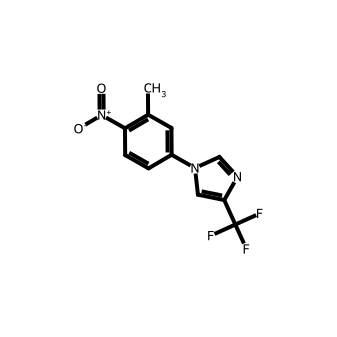 Cc1cc(-n2cnc(C(F)(F)F)c2)ccc1[N+](=O)[O-]